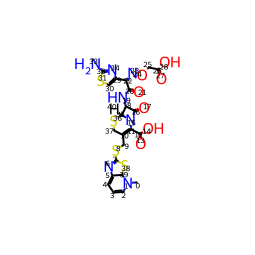 CN1C=CC=C2N=C(SCC3=C(C(=O)O)N4C(=O)C(NC(=O)/C(=N\OCC(=O)O)c5csc(N)n5)[C@H]4SC3)SC21